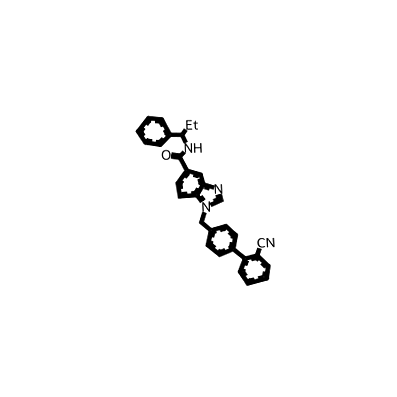 CCC(NC(=O)c1ccc2c(c1)ncn2Cc1ccc(-c2ccccc2C#N)cc1)c1ccccc1